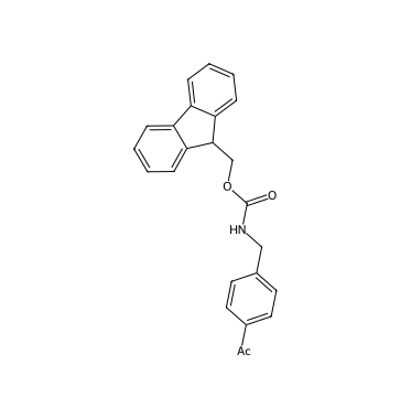 CC(=O)c1ccc(CNC(=O)OCC2c3ccccc3-c3ccccc32)cc1